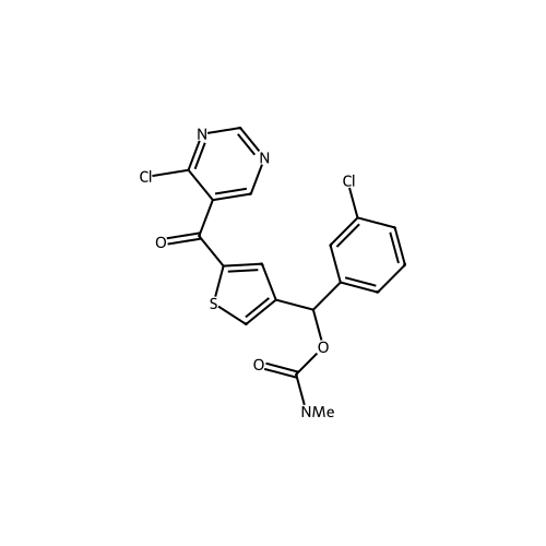 CNC(=O)OC(c1cccc(Cl)c1)c1csc(C(=O)c2cncnc2Cl)c1